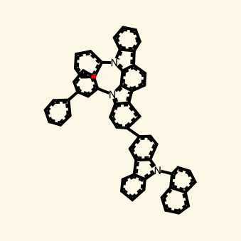 c1ccc(-c2cccc(-n3c4ccc(-c5ccc6c(c5)c5ccccc5n6-c5cccc6ccccc56)cc4c4ccc5c6ccccc6n(-c6ccccc6)c5c43)c2)cc1